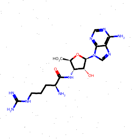 N=C(N)NCCC[C@H](N)C(=O)N[C@H]1[C@@H](O)[C@H](n2cnc3c(N)ncnc32)O[C@@H]1C(=O)O